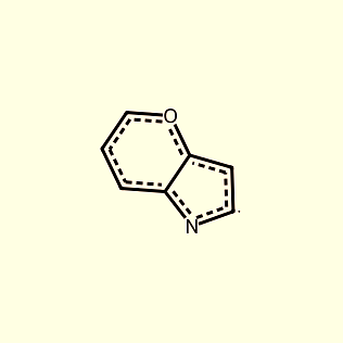 [c]1cc2occcc-2n1